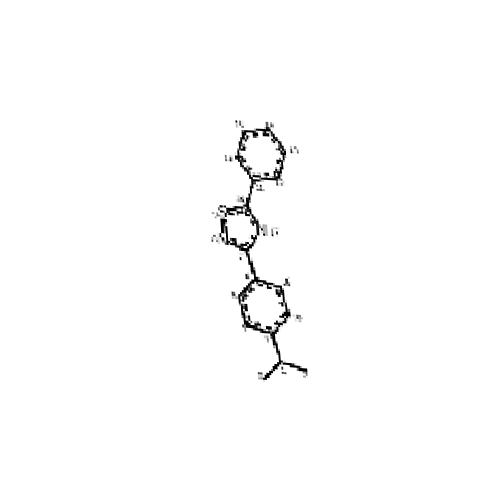 CC(C)c1ccc(-c2nsc(-c3ccccc3)n2)cc1